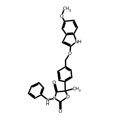 COc1ccc2[nH]c(OCc3ccc(C4(C)OC(=O)N(Nc5ccccc5)C4=O)cc3)cc2c1